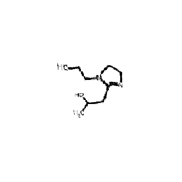 CC(O)CC1=NCCN1CCO